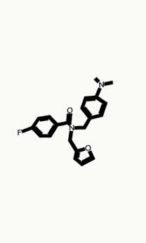 CN(C)c1ccc(CN(Cc2ccco2)C(=O)c2ccc(F)cc2)cc1